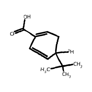 [2H]C1(C(C)(C)C)C=CC(C(=O)O)=CC1